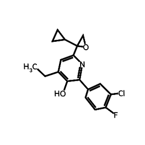 CCc1cc(C2(C3CC3)CO2)nc(-c2ccc(F)c(Cl)c2)c1O